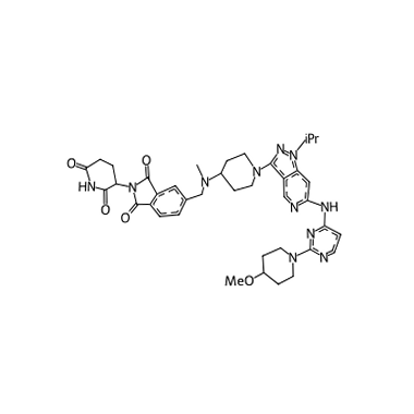 COC1CCN(c2nccc(Nc3cc4c(cn3)c(N3CCC(N(C)Cc5ccc6c(c5)C(=O)N(C5CCC(=O)NC5=O)C6=O)CC3)nn4C(C)C)n2)CC1